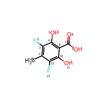 Bc1c(F)c(O)c(C(=O)O)c(O)c1F